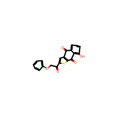 O=C(COc1ccccc1)c1cc2c(s1)C(=O)c1c(O)cccc1C2=O